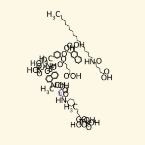 CCCCCCCCCCCCCCCCCCNC(=O)CCCC(=O)O.CCCCOP(=O)(O)OP(=O)(O)O.CN(C)c1cccc2c(S(=O)(=O)N[C@@H](CS(=O)(=O)O)C(=O)O)cccc12.Cc1cccc(OC(=O)CCCC(=O)O)c1.O=C(O)/C=C\C(=O)NC1CCCCC1.O=C(O)c1cc2ccccc2cc1C(=O)O